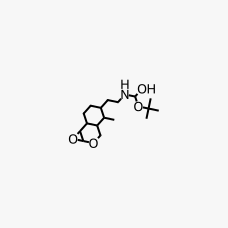 CC1C(CCNC(O)OC(C)(C)C)CCC2C1COC1OC12